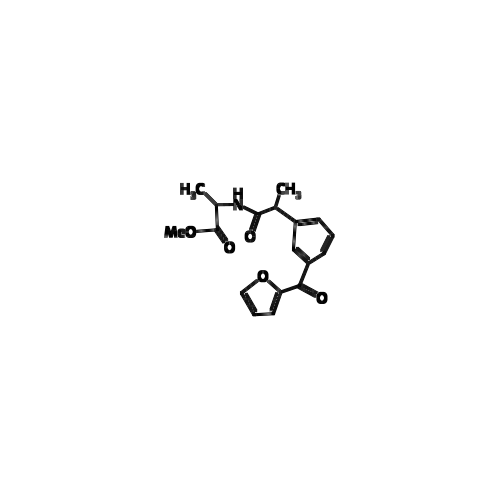 COC(=O)C(C)NC(=O)C(C)c1cccc(C(=O)c2ccco2)c1